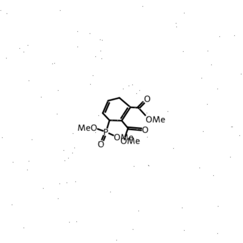 COC(=O)C1=C(C(=O)OC)C(P(=O)(OC)OC)C=CC1